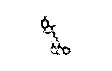 O=C1c2cc([N+](=O)[O-])ccc2OCN1CCCCOC(c1ccccc1)N1C(=O)CSC1=O